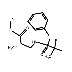 CC(C)OC(=O)[C@@H](C)CNP(=O)(Oc1ccccc1)C(C)(F)F